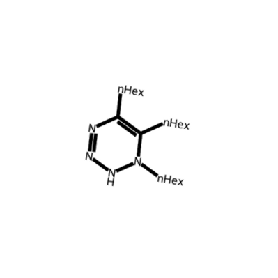 CCCCCCC1=C(CCCCCC)N(CCCCCC)NN=N1